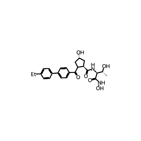 CCc1ccc(-c2ccc(C(=O)C3C[C@H](O)C[C@H]3C(=O)N[C@H](C(=O)NO)[C@@H](C)O)cc2)cc1